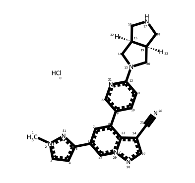 Cl.Cn1ccc(-c2cc(-c3ccc(N4C[C@H]5CNC[C@H]5C4)nc3)c3c(C#N)cnn3c2)n1